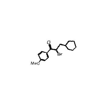 COc1ccc(C(=O)C(Br)CC2CCCCC2)cc1